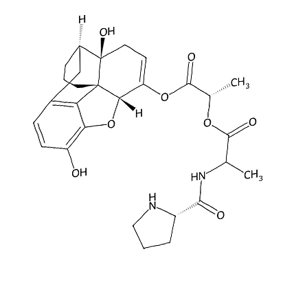 CC(NC(=O)[C@@H]1CCCN1)C(=O)O[C@@H](C)C(=O)OC1=CC[C@@]2(O)[C@@H]3CCC[C@@]24c2c(ccc(O)c2O[C@@H]14)C3